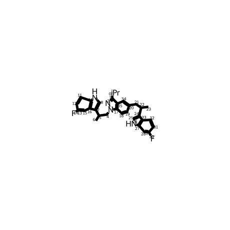 CC(C)c1nn(CC(C)c2c[nH]c3ccc(F)cc23)c2ccc(CC(C)c3c[nH]c4cc(F)ccc34)cc12